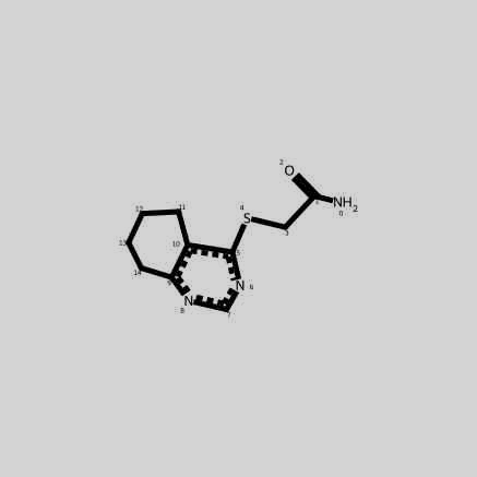 NC(=O)CSc1ncnc2c1CCCC2